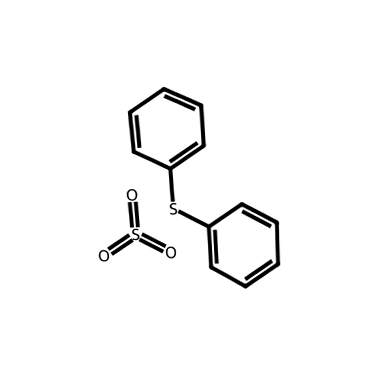 O=S(=O)=O.c1ccc(Sc2ccccc2)cc1